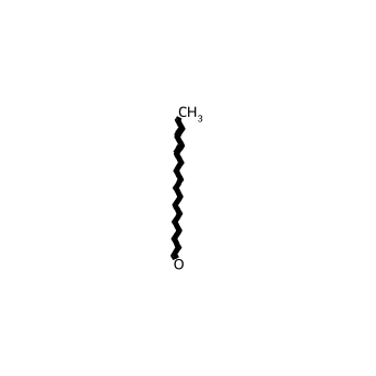 CC/C=C/C=C/CCCCCCCCCCCC=O